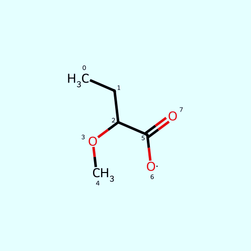 CCC(OC)C([O])=O